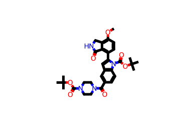 COc1ccc(-c2cc3cc(C(=O)N4CCN(C(=O)OC(C)(C)C)CC4)ccc3n2C(=O)OC(C)(C)C)c2c1CNC2=O